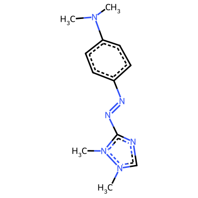 CN(C)c1ccc(N=Nc2ncn(C)[n+]2C)cc1